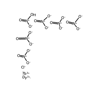 O=[N+]([O-])O.O=[N+]([O-])[O-].O=[N+]([O-])[O-].O=[N+]([O-])[O-].O=[N+]([O-])[O-].O=[N+]([O-])[O-].[Cl-].[Dy+3].[Tb+3]